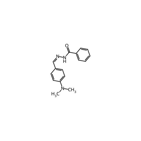 CN(C)c1ccc(/C=N\NC(=O)c2ccccc2)cc1